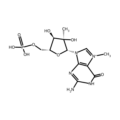 C[n+]1cn([C@@H]2O[C@H](COP(=O)(O)O)[C@@H](O)[C@@]2(C)O)c2nc(N)[nH]c(=O)c21